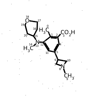 Cc1c(C(=O)O)cc(C2CN(C)C2)cc1N(C)C1CCOCC1